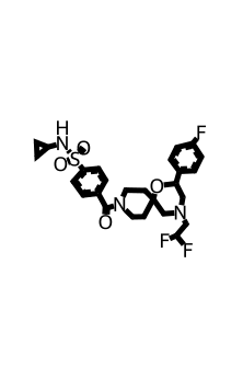 O=C(c1ccc(S(=O)(=O)NC2CC2)cc1)N1CCC2(CC1)CN(CC(F)F)CC(c1ccc(F)cc1)O2